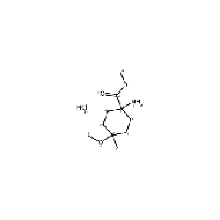 COC(=O)C1(N)CCC(C)(OC)CC1.Cl